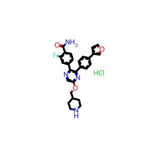 Cl.NC(=O)c1ccc(-c2ncc(OCC3CCNCC3)nc2-c2ccc(-c3ccoc3)cc2)cc1F